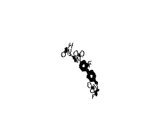 CC(=O)NC[C@H]1CN(c2ccc(-c3ccc(CN4CC(CF)OC4=O)cc3)c(F)c2)C(=O)O1